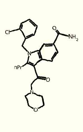 CCCc1c(C(=O)CN2CCOCC2)c2ccc(C(N)=O)cc2n1Cc1ccccc1Cl